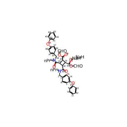 CCCN(Cc1ccc(Oc2ccccc2)cc1)C(=O)C1C(C(=O)OC=O)C(C(=O)OC=O)C1C(=O)N(CCC)Cc1ccc(Oc2ccccc2)cc1.[NaH].[NaH]